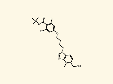 Cc1c(CO)ccc2c1nnn2CCCCOc1cc(Cl)c(C(=O)OC(C)(C)C)c(Cl)c1